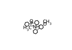 COc1ccc(-c2ccccc2NC(C)P(=O)(c2ccccc2)c2ccccc2)cc1